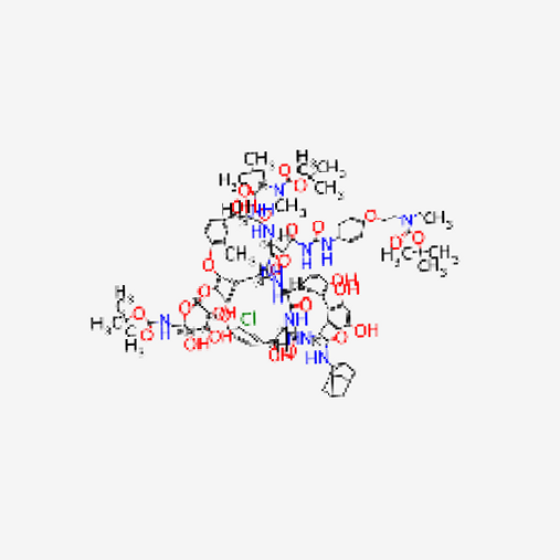 CCN(CCOc1ccc(NC(=O)NC(=O)C[C@@H]2NC(=O)[C@H](NC(=O)[C@@H](CC(C)C)N(C)C(=O)OC(C)(C)C)[C@H](O)c3ccc(c(C)c3)Oc3cc4cc(c3O[C@@H]3O[C@H](CNC(=O)OC(C)(C)C)[C@@H](O)[C@H](O)[C@H]3O)Oc3ccc(cc3Cl)[C@@H](O)[C@@H]3NC(=O)[C@H](NC(=O)[C@@H]4NC2=O)c2ccc(O)c(c2)-c2c(O)cc(O)cc2[C@@H](C(=O)NC2C4CC5CC(C4)CC2C5)NC3=O)cc1)C(=O)OC(C)(C)C